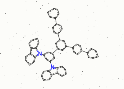 c1ccc(-c2ccc(-c3cc(-c4ccc(-c5ccccc5)cc4)cc(-c4cc(-n5c6ccccc6c6ccccc65)cc(-n5c6ccccc6c6ccccc65)c4)c3)cc2)cc1